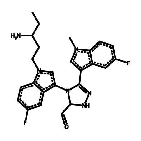 CCC(N)CCn1cc(N2C(c3cn(C)c4ccc(F)cc34)=NNC2C=O)c2cc(F)ccc21